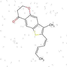 C/C=C\C=C/c1sc2cc3c(cc2c1C)OCCC3=O